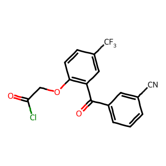 N#Cc1cccc(C(=O)c2cc(C(F)(F)F)ccc2OCC(=O)Cl)c1